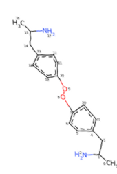 CC(N)Cc1ccc(OOc2ccc(CC(C)N)cc2)cc1